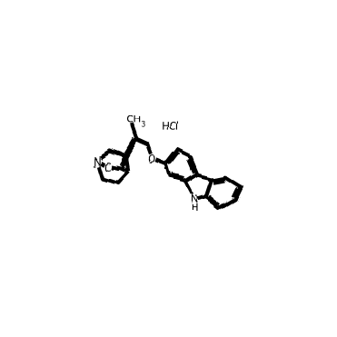 CC(COc1ccc2c(c1)[nH]c1ccccc12)=C1CN2CCC1CC2.Cl